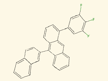 Fc1cc(-c2cccc3c(-c4ccc5ccccc5c4)c4ccccc4cc23)cc(F)c1F